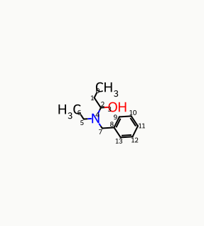 CCC(O)N(CC)Cc1ccccc1